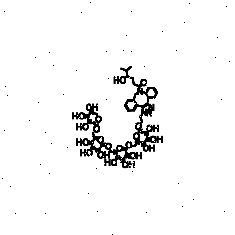 CC(C)C(O)CCC(=O)N1Cc2ccccc2-c2c(nnn2CCO[C@@H]2O[C@H](CO[C@@H]3O[C@H](CO[C@@H]4O[C@H](CO[C@@H]5OC[C@@H](O)[C@H](O)[C@H]5O)[C@@H](O)[C@H](O)[C@H]4O)[C@@H](O)[C@H](O)[C@H]3O)[C@@H](O)[C@H](O)[C@H]2O)-c2ccccc21